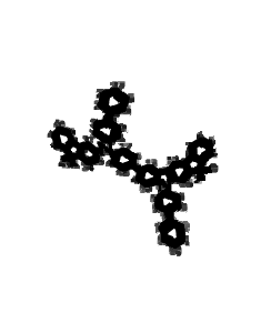 CC1(C)c2ccccc2-c2cc3c4cc(-c5ccc(N(c6ccc(-c7ccccc7)cc6)c6ccc7c(c6)C6C=CC=CC6C7(C)C)cc5)ccc4n(-c4ccc(-c5ccccc5)cc4)c3cc21